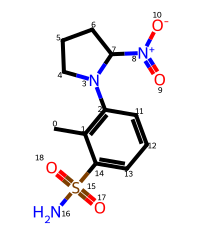 Cc1c(N2CCCC2[N+](=O)[O-])cccc1S(N)(=O)=O